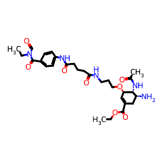 CCOC(=O)C1=C[C@@H](OCCCNC(=O)CCCC(=O)Nc2ccc(C(=O)N(C=O)CC)cc2)[C@H](NC(C)=O)[C@@H](N)C1